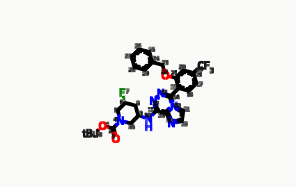 CC(C)(C)OC(=O)N1C[C@H](F)C[C@@H](Nc2nnc(-c3ccc(C(F)(F)F)cc3OCc3ccccc3)n3ccnc23)C1